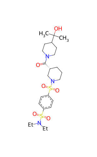 CCN(CC)S(=O)(=O)c1ccc(S(=O)(=O)N2CCC[C@@H](C(=O)N3CCC(C(C)(C)O)CC3)C2)cc1